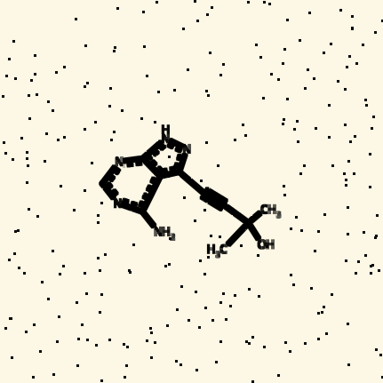 CC(C)(O)C#Cc1n[nH]c2ncnc(N)c12